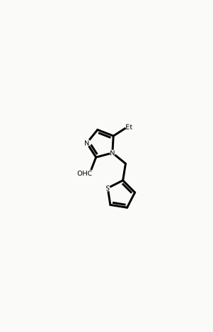 CCc1cnc(C=O)n1Cc1cccs1